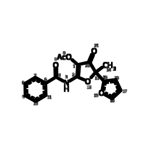 CC(=O)OC1=C(NC(=O)c2ccccc2)OC(C)(c2ccco2)C1=O